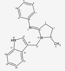 CC1CCC(=Nc2ccccc2)N1Cc1c[nH]c2ccccc12